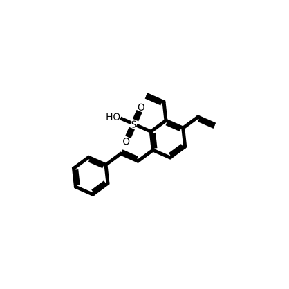 C=Cc1ccc(C=Cc2ccccc2)c(S(=O)(=O)O)c1C=C